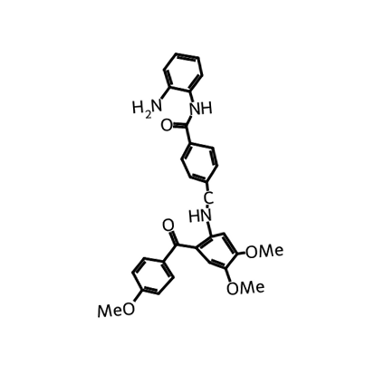 COc1ccc(C(=O)c2cc(OC)c(OC)cc2NCc2ccc(C(=O)Nc3ccccc3N)cc2)cc1